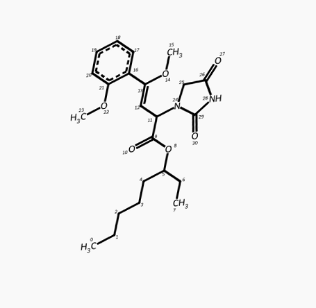 CCCCCC(CC)OC(=O)C(C=C(OC)c1ccccc1OC)N1CC(=O)NC1=O